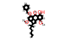 C/C=C/CCC(C)(C)C1C=C2c3c(OC)ccc(O)c3C(=O)c3c(OCc4ccccc4)cc(OC)c1c32